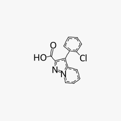 O=C(O)c1nn2ccccc2c1-c1ccccc1Cl